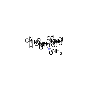 CCOC(=O)C(NC(=O)C(NC(=O)OC(C)(C)C)C(C)C)(OC(=O)NC(CC/C=C/C(N)=O)C(=O)Nc1cccn(Cc2nc3ccccc3[nH]2)c1=O)C(C)C